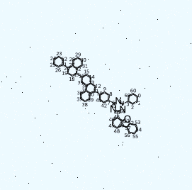 c1ccc(-c2nc(-c3ccc(-c4cc5ccc(-c6ccc(-c7ccccc7)c7ccccc67)cc5c5ccccc45)cc3)nc(-c3cccc4c3oc3ccccc34)n2)cc1